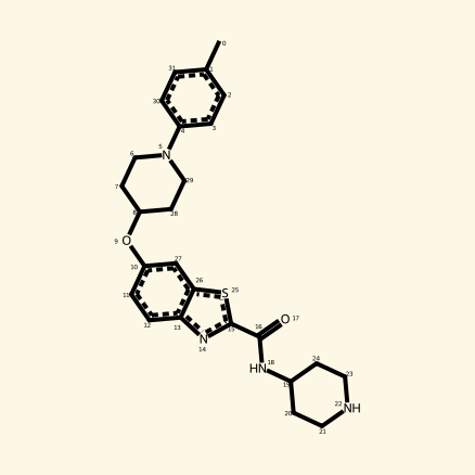 Cc1ccc(N2CCC(Oc3ccc4nc(C(=O)NC5CCNCC5)sc4c3)CC2)cc1